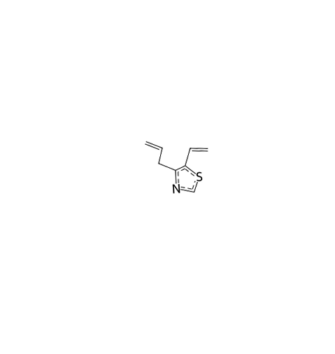 C=CCc1ncsc1C=C